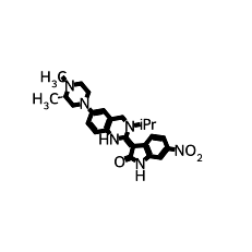 CC(C)N1Cc2cc(N3CCN(C)[C@@H](C)C3)ccc2N/C1=C1\C(=O)Nc2cc([N+](=O)[O-])ccc21